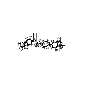 O=C(CC1(O)CCN(c2ccc(C(F)(F)F)c(Cl)c2)CC1)Nc1ccc2[nH]c(=O)oc2c1